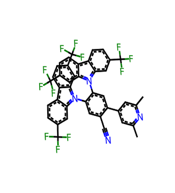 Cc1cc(-c2cc(-n3c4cc(C(F)(F)F)ccc4c4ccc(C(F)(F)F)cc43)c(-n3c4cc(C(F)(F)F)ccc4c4ccc(C(F)(F)F)cc43)cc2C#N)cc(C)n1